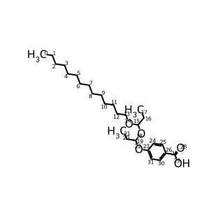 CCCCCCCCCCCCCCOC(CC)OC(CC)Oc1ccc(C(=O)O)cc1